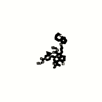 Cc1nn(C)c(C)c1-c1c(Cl)ccc2c(CCCOc3cccc4c3C=CC=CC4)c(C(=O)OC(C)(C)C)n(CCN3CCN(C(=O)OC(C)(C)C)CC34CC4)c12